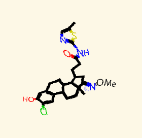 CO/N=C1\CC(CCC(=O)Nc2ncc(C)s2)C2C3CCc4cc(O)c(Cl)cc4C3CCC12C